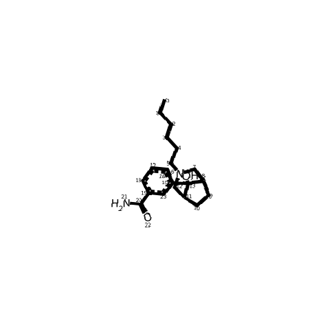 CCCCCCN1CC2CCC(C1)C2(O)c1cccc(C(N)=O)c1